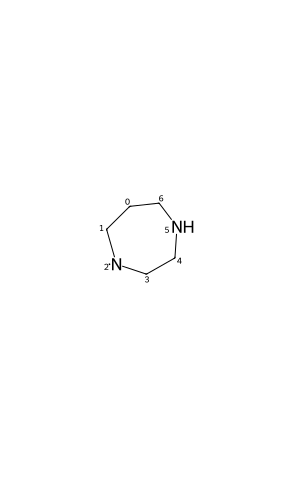 C1C[N]CCNC1